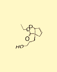 CCOC(=O)[C@@]1(CCCO)CC=CC1=O